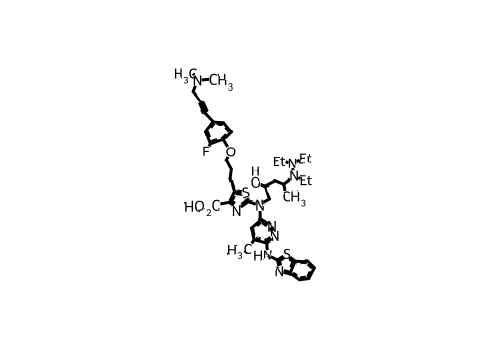 CCN(CC)N(CC)C(C)CC(O)CN(c1cc(C)c(Nc2nc3ccccc3s2)nn1)c1nc(C(=O)O)c(CCCOc2ccc(C#CCN(C)C)cc2F)s1